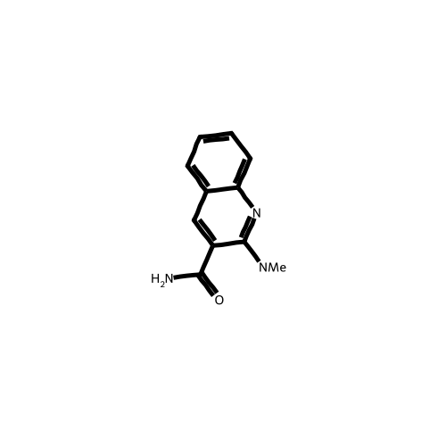 CNc1nc2ccccc2cc1C(N)=O